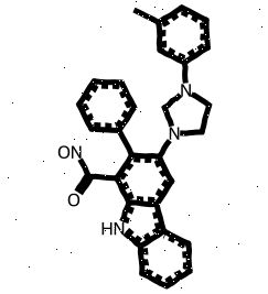 Cc1cccc(N2CCN(c3cc4c([nH]c5ccccc54)c(C(=O)N=O)c3-c3ccccc3)C2)c1